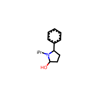 CC(C)N1C(O)CCC1c1ccccc1